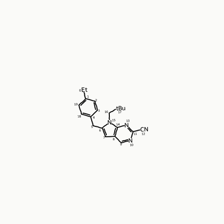 CCc1ccc(Cc2cc3cnc(C#N)nc3n2CC(C)(C)C)cc1